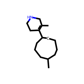 CC1=C(C2CCCCC(C)CCC2)CCNC1